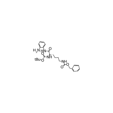 CC(C)(C)OC(=O)N[C@@H](CCCCNC(=O)OCc1ccccc1)C(=O)Nc1ccccc1N